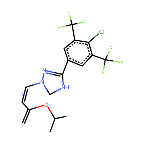 C=C(/C=C\N1CNC(c2cc(C(F)(F)F)c(Cl)c(C(F)(F)F)c2)=N1)OC(C)C